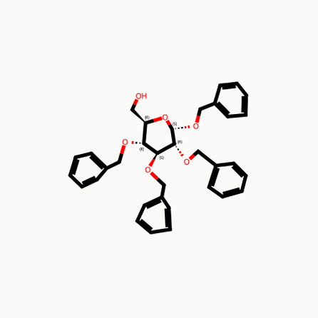 OC[C@H]1O[C@H](OCc2ccccc2)[C@H](OCc2ccccc2)[C@@H](OCc2ccccc2)[C@@H]1OCc1ccccc1